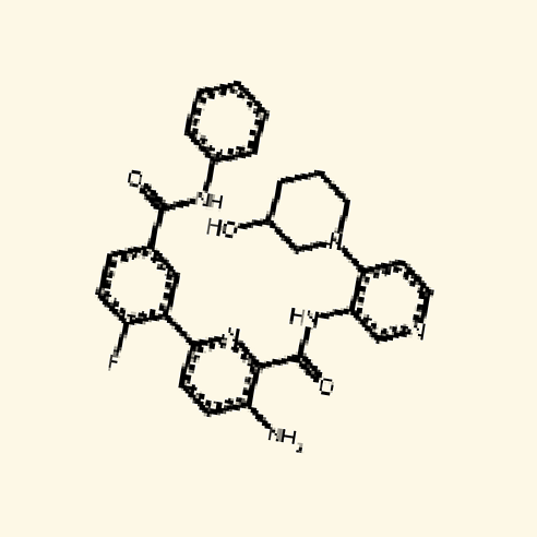 Nc1ccc(-c2cc(C(=O)Nc3ccccc3)ccc2F)nc1C(=O)Nc1cnccc1N1CCCC(O)C1